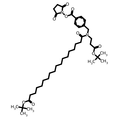 CC(C)(C)OC(=O)CCCCCCCCCCCCCCCCC(=O)N(CCC(=O)OC(C)(C)C)Cc1ccc(C(=O)ON2C(=O)CCC2=O)cc1